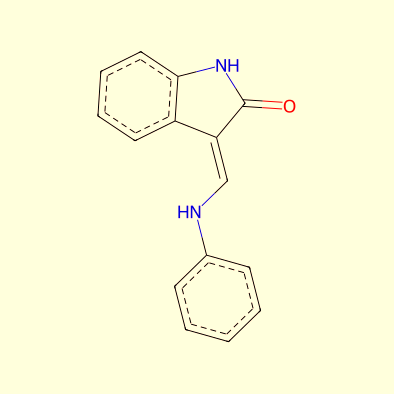 O=C1Nc2ccccc2/C1=C\Nc1ccccc1